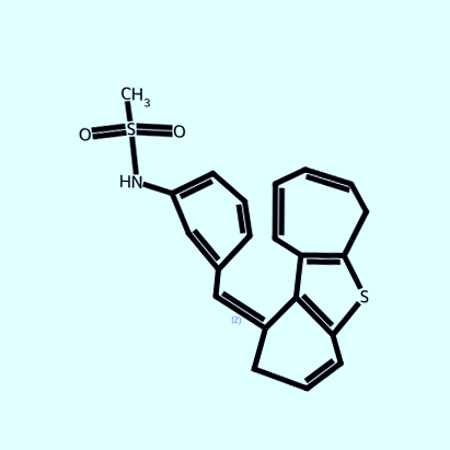 CS(=O)(=O)Nc1cccc(/C=C2/CC=Cc3sc4c(c32)C=CC=CC4)c1